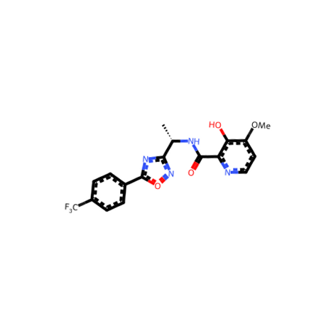 COc1ccnc(C(=O)N[C@@H](C)c2noc(-c3ccc(C(F)(F)F)cc3)n2)c1O